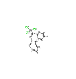 Cl[Si](Cl)(Cl)c1cc2ccccc2c2ccccc12